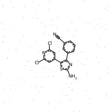 N#Cc1cccc(-c2nc(N)sc2-c2cc(Cl)nc(Cl)c2)c1